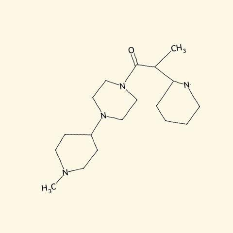 CC(C(=O)N1CCN(C2CCN(C)CC2)CC1)C1CCCC[N]1